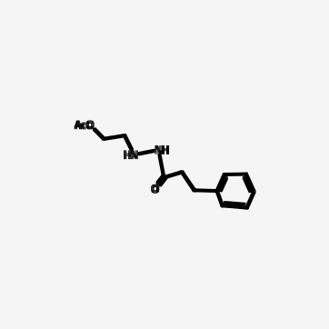 CC(=O)OCCNNC(=O)CCc1ccccc1